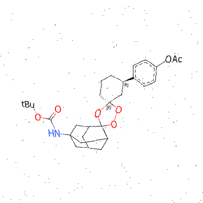 CC(=O)Oc1ccc([C@@H]2CCC[C@]3(C2)OOC2(O3)C3CC4CC2CC(NC(=O)OC(C)(C)C)(C4)C3)cc1